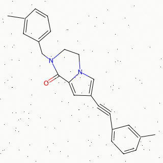 Cc1cccc(C#Cc2cc3n(c2)CCN(Cc2cccc(C)c2)C3=O)c1